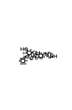 Cc1c(O)cc(O)c(C(=O)N2Cc3ccc(CN4CCNCC4)cc3C2)c1OCc1ccccc1